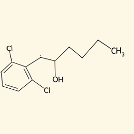 CCCCC(O)[CH]c1c(Cl)cccc1Cl